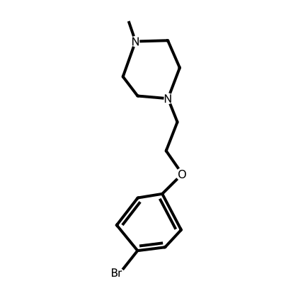 CN1CCN(CCOc2ccc(Br)cc2)CC1